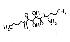 CCCCNC(=O)C(O)C(O)C(=O)OC(N)CCC